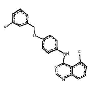 Fc1cccc(COc2ccc(Nc3ncnc4cccc(F)c34)cc2)c1